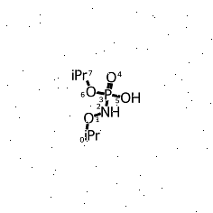 CC(C)ONP(=O)(O)OC(C)C